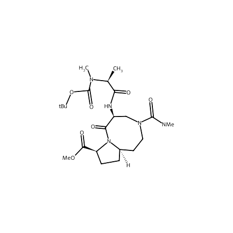 CNC(=O)N1CC[C@H]2CC[C@@H](C(=O)OC)N2C(=O)[C@@H](NC(=O)[C@H](C)N(C)C(=O)OC(C)(C)C)C1